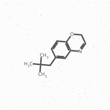 CC(C)(C)Cc1ccc2c(c1)N=CCO2